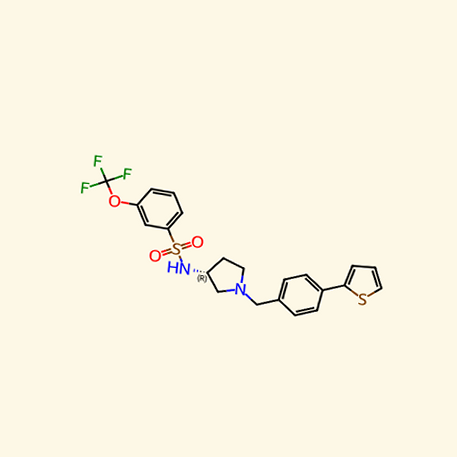 O=S(=O)(N[C@@H]1CCN(Cc2ccc(-c3cccs3)cc2)C1)c1cccc(OC(F)(F)F)c1